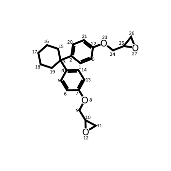 c1cc(C2(c3ccc(OCC4CO4)cc3)CCCCC2)ccc1OCC1CO1